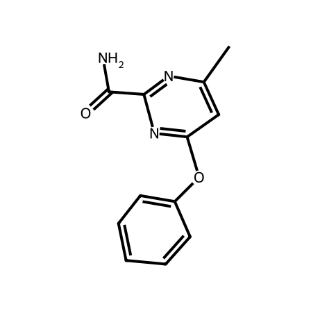 Cc1cc(Oc2ccccc2)nc(C(N)=O)n1